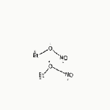 CCON=O.CCON=O